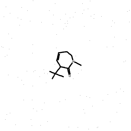 CN1CCC=CC(C(C)(C)C)C1=O